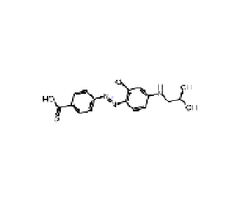 O=C(O)c1ccc(/N=N/c2ccc(NCC(O)O)cc2Cl)cc1